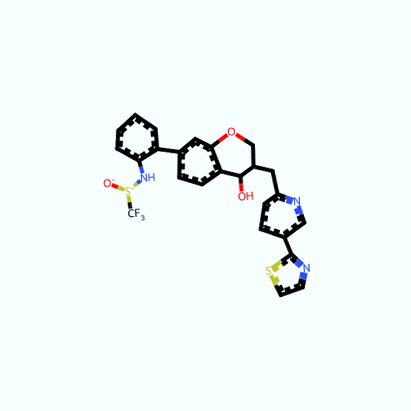 [O-][S+](Nc1ccccc1-c1ccc2c(c1)OCC(Cc1ccc(-c3nccs3)cn1)C2O)C(F)(F)F